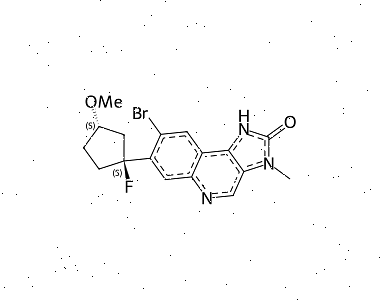 CO[C@H]1CC[C@@](F)(c2cc3ncc4c([nH]c(=O)n4C)c3cc2Br)C1